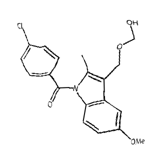 COc1ccc2c(c1)c(COCO)c(C)n2C(=O)c1ccc(Cl)cc1